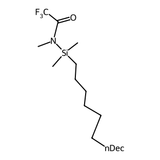 CCCCCCCCCCCCCCCC[Si](C)(C)N(C)C(=O)C(F)(F)F